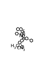 CC1(C)c2ccccc2-c2c1ccc1cc3c(cc21)c1cc(-c2ccccc2)ccc1n3-c1nc(-c2ccccc2)c2c(n1)sc1ccc3ccccc3c12